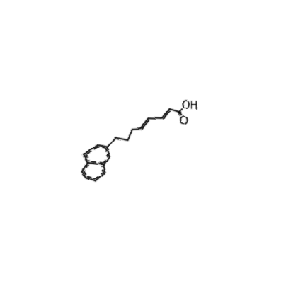 O=C(O)C=CC=CCCCc1ccc2ccccc2c1